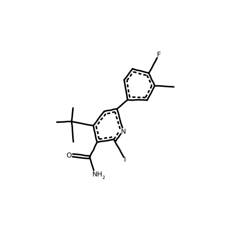 Cc1cc(-c2cc(C(C)(C)C)c(C(N)=O)c(I)n2)ccc1F